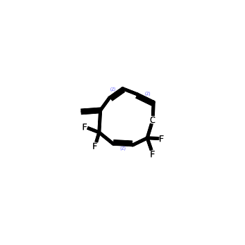 C=C1/C=C\C=C/CC(F)(F)/C=C\C1(F)F